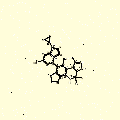 CC1=NNC2N1c1c(F)c(-c3cc(F)cc4c3ccn4C3CC3)c3c(c1NC2(C)C)CCC3